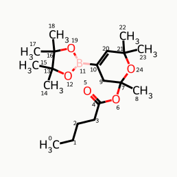 CCCCC(=O)OC1(C)CC(B2OC(C)(C)C(C)(C)O2)=CC(C)(C)O1